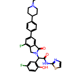 CCN1CCC(c2ccc(-c3cc(F)c4c(c3)C(=O)N(C(C(=O)Nc3nccs3)c3cc(F)ccc3O)C4)cc2)CC1